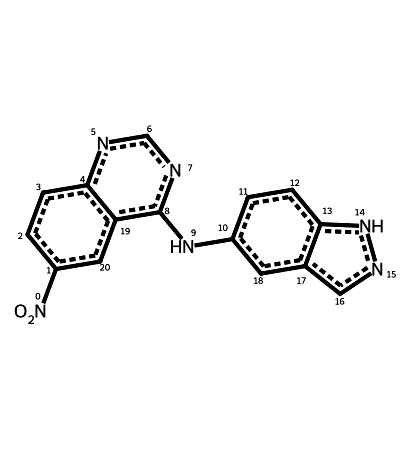 O=[N+]([O-])c1ccc2ncnc(Nc3ccc4[nH]ncc4c3)c2c1